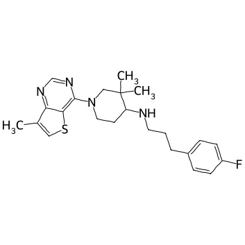 Cc1csc2c(N3CCC(NCCCc4ccc(F)cc4)C(C)(C)C3)ncnc12